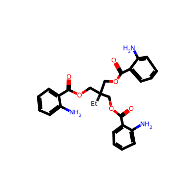 CCC(COC(=O)c1ccccc1N)(COC(=O)c1ccccc1N)COC(=O)c1ccccc1N